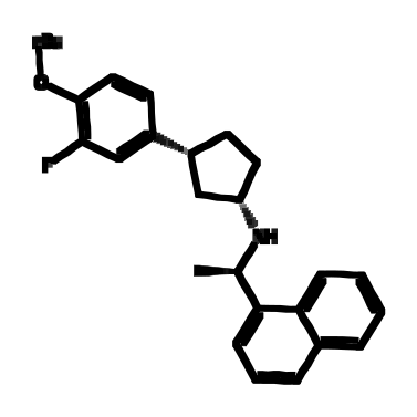 CCCCOc1ccc([C@@H]2CC[C@H](N[C@H](C)c3cccc4ccccc34)C2)cc1F